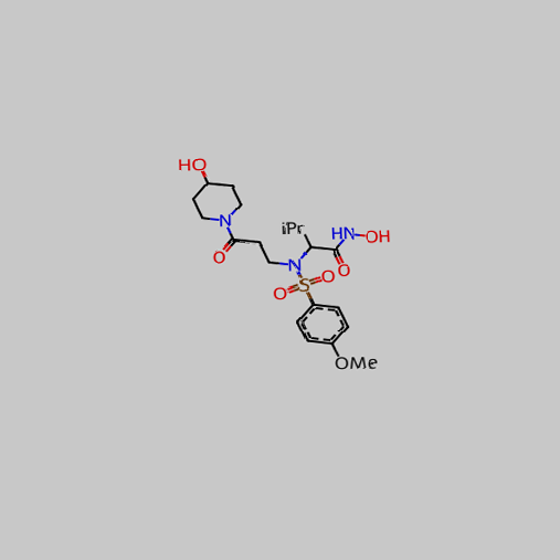 COc1ccc(S(=O)(=O)N(CCC(=O)N2CCC(O)CC2)C(C(=O)NO)C(C)C)cc1